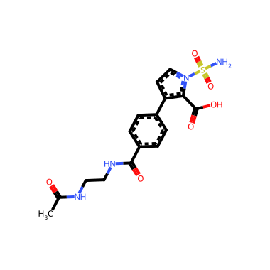 CC(=O)NCCNC(=O)c1ccc(-c2ccn(S(N)(=O)=O)c2C(=O)O)cc1